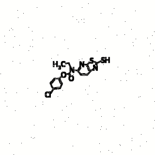 CCN(C(=O)Oc1ccc(Cl)cc1)c1ccc2nc(S)sc2n1